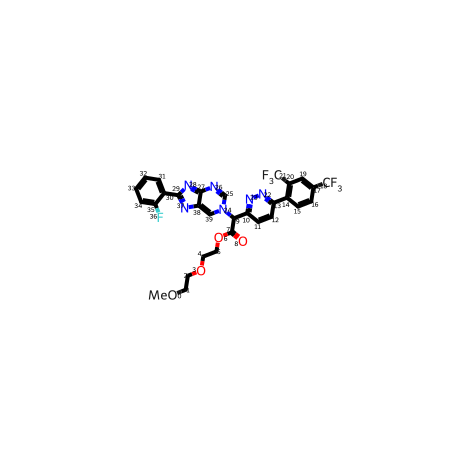 COCCOCCOC(=O)C(c1ccc(-c2ccc(C(F)(F)F)cc2C(F)(F)F)nn1)n1cnc2nc(-c3ccccc3F)nc-2c1